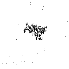 CC(C)(C)OC(=O)N[C@@H](CN1C[C@@H]2C[C@H]1C(=O)N2c1cc(F)cc(F)c1)C(=O)N1[C@H](C#N)C[C@@H]2C[C@@H]21